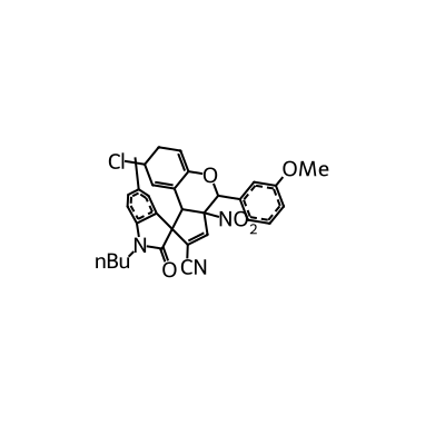 CCCCN1C(=O)C2(C(C#N)=CC3([N+](=O)[O-])C(c4cccc(OC)c4)OC4=CCC(Cl)C=C4C23)c2cc(C)ccc21